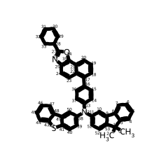 CC1(C)c2ccccc2-c2cc(N(c3ccc(-c4cccc5c4ccc4nc(C6C=CC=CC6)oc45)cc3)c3ccc4sc5ccccc5c4c3)ccc21